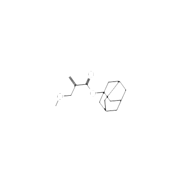 C=C(COC)C(=O)OC12CC3CC(CC(C3)C1)C2